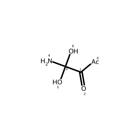 CC(=O)C(=O)C(N)(O)O